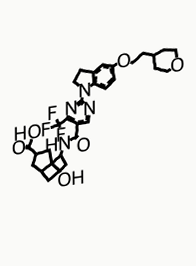 O=C(NC1CC2(O)CC3CC(C(=O)O)CC312)c1cnc(N2CCc3cc(OCCC4CCOCC4)ccc32)nc1C(F)(F)F